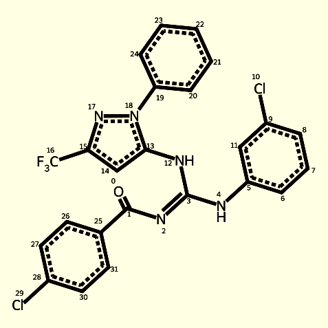 O=C(/N=C(/Nc1cccc(Cl)c1)Nc1cc(C(F)(F)F)nn1-c1ccccc1)c1ccc(Cl)cc1